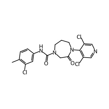 Cc1ccc(NC(=O)N2CCCN(c3c(Cl)cncc3Cl)C(=O)C2)cc1Cl